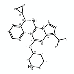 CC(C)c1cnn2c(N[C@H](c3ccccc3)C3CC3)nc(OC3CCCNC3)nc12